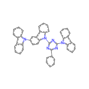 c1ccc(-c2nc(-n3c4ccccc4c4ccccc43)nc(-n3c4ccccc4c4cc(-n5c6ccccc6c6ccccc65)ccc43)n2)cc1